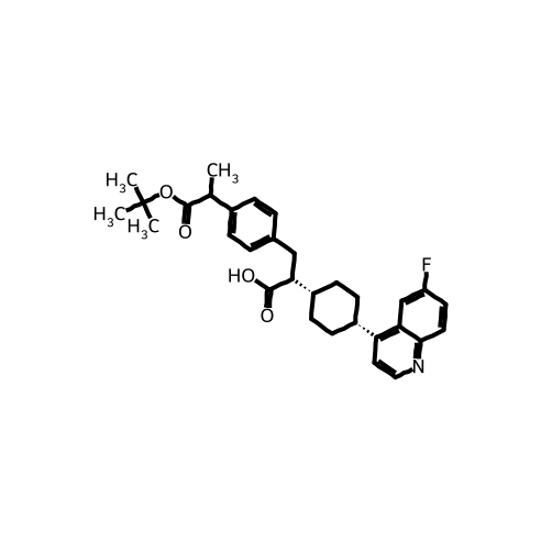 CC(C(=O)OC(C)(C)C)c1ccc(CC(C(=O)O)[C@H]2CC[C@@H](c3ccnc4ccc(F)cc43)CC2)cc1